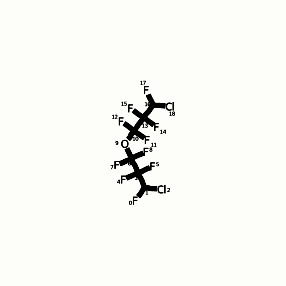 FC(Cl)C(F)(F)C(F)(F)OC(F)(F)C(F)(F)C(F)Cl